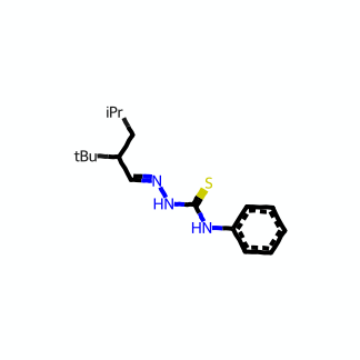 CC(C)CC(/C=N/NC(=S)Nc1ccccc1)C(C)(C)C